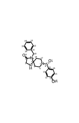 O=C1CNC2(CCN([S+]([O-])c3ccc(O)cc3)CC2)N1Cc1ccccc1